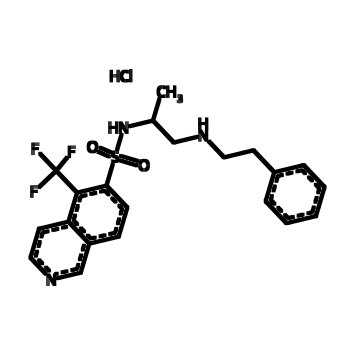 CC(CNCCc1ccccc1)NS(=O)(=O)c1ccc2cnccc2c1C(F)(F)F.Cl